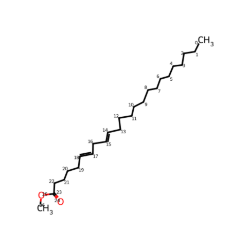 CCCCCCCCCCCCCCC=CCC=CCCCCC(=O)OC